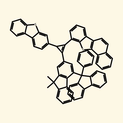 CC1(C)c2ccccc2-c2c1cc(C1=C(c3cccc4c3sc3c5ccccc5ccc43)C1c1ccc3c(c1)sc1ccccc13)cc2C1(c2ccccc2)c2ccccc2-c2ccccc21